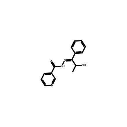 CC(O)C(=NNC(=O)c1cccnc1)c1ccccc1